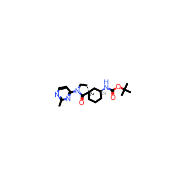 Cc1nccc(N2CC[C@]3(CCC[C@H](NC(=O)OC(C)(C)C)C3)C2=O)n1